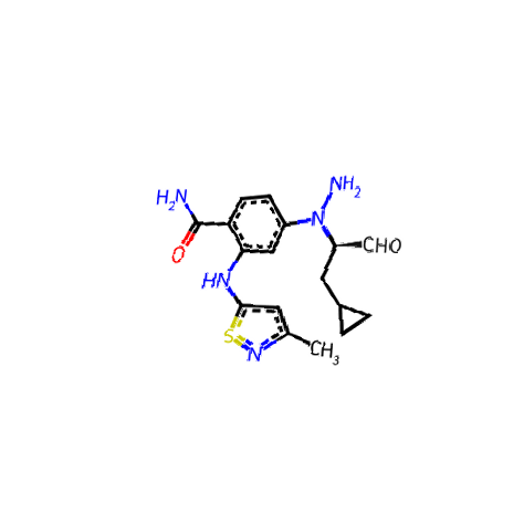 Cc1cc(Nc2cc(N(N)[C@@H](C=O)CC3CC3)ccc2C(N)=O)sn1